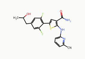 CC(O)Cc1cc(F)c(-c2cc(C(N)=O)c(Nc3cccc(C#N)n3)s2)c(F)c1